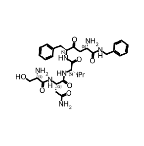 CC(C)[C@H](NC(=O)[C@H](CC(N)=O)NC(=O)[C@@H](N)CO)C(=O)N[C@@H](Cc1ccccc1)C(=O)C[C@H](N)C(=O)NCc1ccccc1